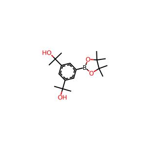 CC(C)(O)c1cc(B2OC(C)(C)C(C)(C)O2)cc(C(C)(C)O)c1